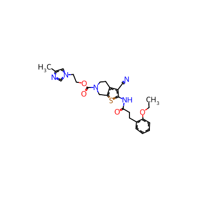 CCOc1ccccc1CCC(=O)Nc1sc2c(c1C#N)CCN(C(=O)OCCn1cnc(C)c1)C2